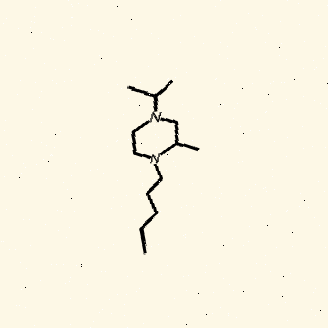 CCCCCN1CCN(C(C)C)CC1C